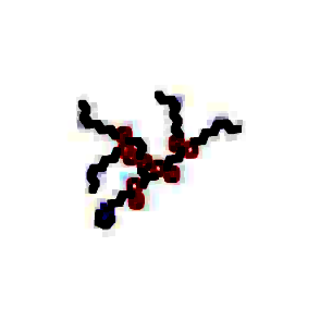 CC/C=C\CCCCOC(CCC(=O)OCC(COC(=O)CCCN1CCCC1)COC(=O)CCC(OCCCC/C=C\CC)OCCCC/C=C\CC)OCCCC/C=C\CC